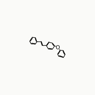 C(=Cc1ccc(Oc2ccccc2)cc1)c1ccccc1